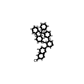 Clc1ccc2cc(-c3cccc(-c4cccc(C5(c6ccccc6)c6ccccc6-c6ccccc65)c4)c3Cl)ccc2c1